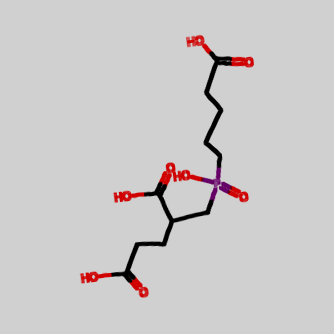 O=C(O)CCCCP(=O)(O)CC(CCC(=O)O)C(=O)O